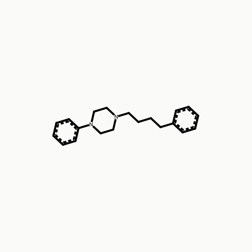 c1ccc(CCCCN2CCN(c3ccccc3)CC2)cc1